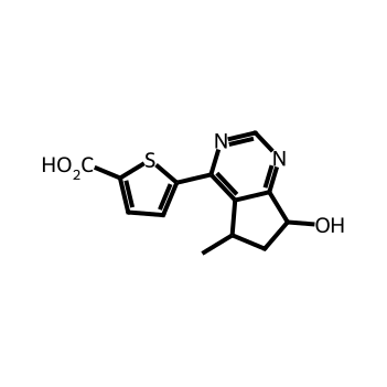 CC1CC(O)c2ncnc(-c3ccc(C(=O)O)s3)c21